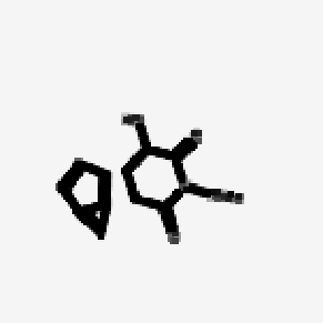 CC(=O)NN1C(=O)CCC(O)C1=O.c1cc2cc-2c1